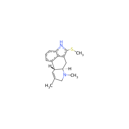 CSc1[nH]c2cccc3c2c1C[C@@H]1[C@@H]3C=C(C)CN1C